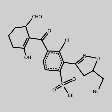 CCS(=O)(=O)c1ccc(C(=O)C2=C(O)CCCC2C=O)c(Cl)c1C1=NOC(CC#N)C1